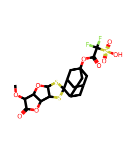 COC1C(=O)OC2C1OC1SC3(SC12)C1CC2CC3CC(OC(=O)C(F)(F)S(=O)(=O)O)(C2)C1